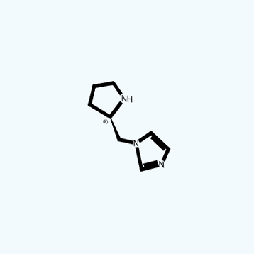 c1cn(C[C@H]2CCCN2)cn1